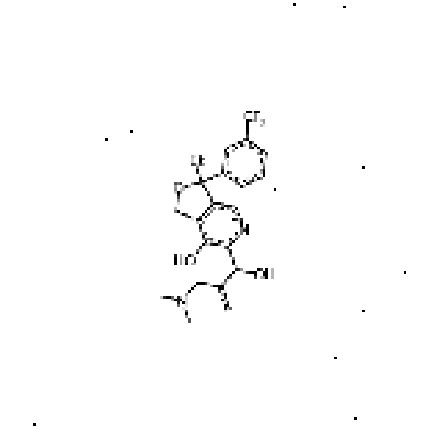 C=C(CN(C)C)C(O)c1ncc2c(c1O)COC2(CC)c1cccc(C(F)(F)F)c1